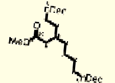 CCCCCCCCCCCCCCC(CCCCCCCCCCCC)CC(=O)OC